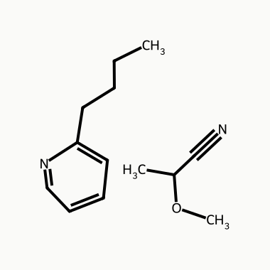 CCCCc1ccccn1.COC(C)C#N